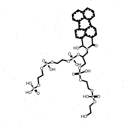 O=C1c2ccc3c4cccc5cccc(c6ccc(c2c36)C(O)N1CC(COP(=O)(O)OCCOP(=O)(O)OCCO)OP(=O)(O)OCCOP(=O)(O)OCCOP(=O)(O)O)c54